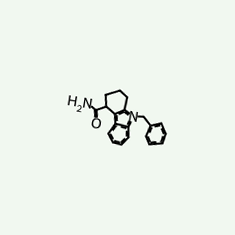 NC(=O)C1CCCc2c1c1ccccc1n2Cc1ccccc1